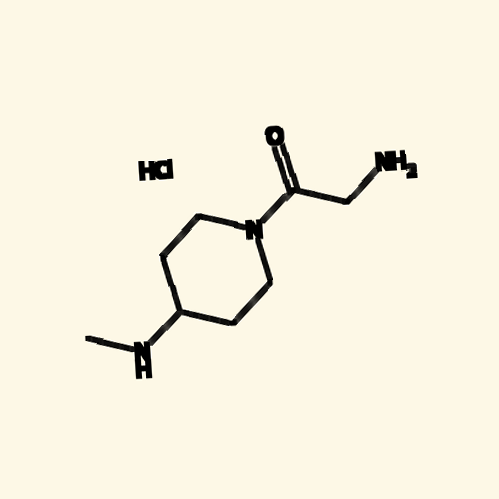 CNC1CCN(C(=O)CN)CC1.Cl